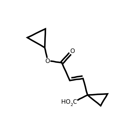 O=C(/C=C/C1(C(=O)O)CC1)OC1CC1